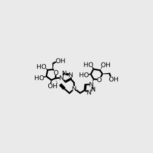 C#CCN(Cc1cn([C@H]2O[C@H](CO)[C@@H](O)[C@H](O)[C@@H]2O)nn1)Cc1cn([C@]2(C)O[C@H](CO)[C@@H](O)[C@H](O)[C@@H]2O)nn1